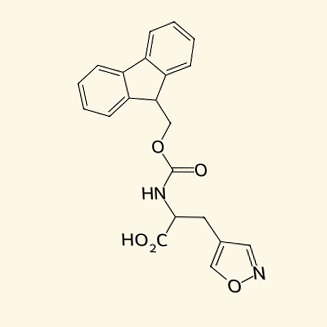 O=C(NC(Cc1cnoc1)C(=O)O)OCC1c2ccccc2-c2ccccc21